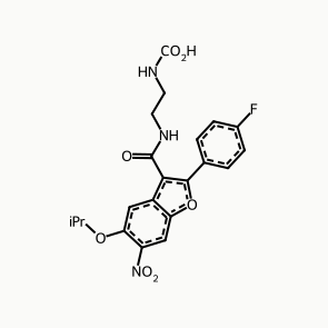 CC(C)Oc1cc2c(C(=O)NCCNC(=O)O)c(-c3ccc(F)cc3)oc2cc1[N+](=O)[O-]